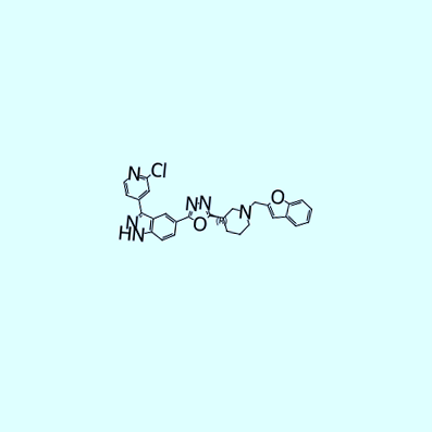 Clc1cc(-c2n[nH]c3ccc(-c4nnc([C@@H]5CCCN(Cc6cc7ccccc7o6)C5)o4)cc23)ccn1